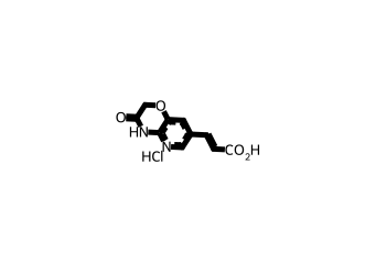 Cl.O=C(O)C=Cc1cnc2c(c1)OCC(=O)N2